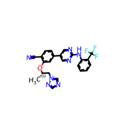 C[C@@H](Cn1cncn1)Oc1cc(-c2cnc(Nc3ccccc3C(F)(F)F)nc2)ccc1C#N